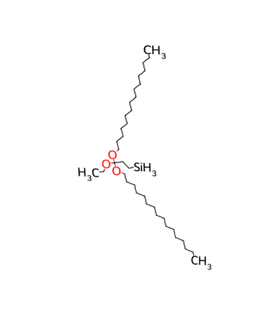 CCCCCCCCCCCCCCCCOC(CC[SiH3])(OCC)OCCCCCCCCCCCCCCCC